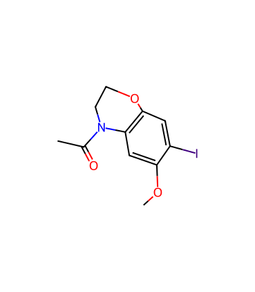 COc1cc2c(cc1I)OCCN2C(C)=O